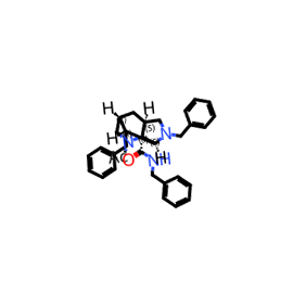 CC(=O)N1C[C@@H]2C[C@H]3CN(Cc4ccccc4)[C@@H]([C@@H]2Cc2ccccc2)[C@]31C(=O)NCc1ccccc1